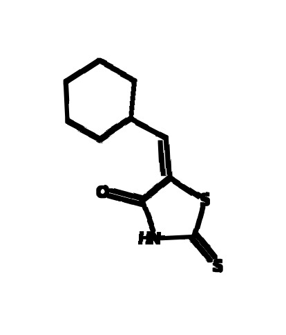 O=C1NC(=S)S/C1=C/C1CCCCC1